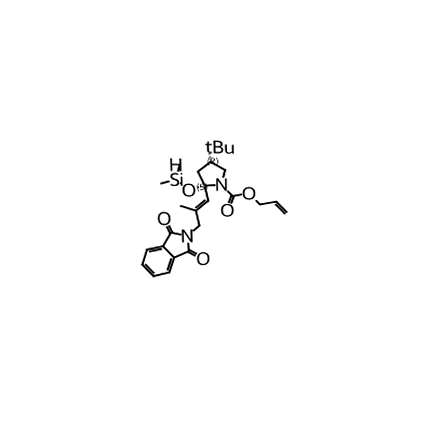 C=CCOC(=O)N1C[C@@H](C(C)(C)C)C[C@@]1(C=C(C)CN1C(=O)c2ccccc2C1=O)O[SiH](C)C